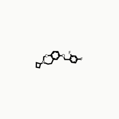 Fc1ccc(COc2ccc3c(c2)CCN(C2CCC2)CC3)c(F)c1